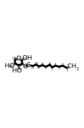 CCCCCCCCCCCCSO[C@@H]1[C@@H](O)[C@H](O)CO[C@H]1O